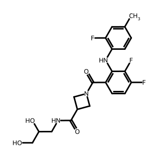 Cc1ccc(Nc2c(C(=O)N3CC(C(=O)NCC(O)CO)C3)ccc(F)c2F)c(F)c1